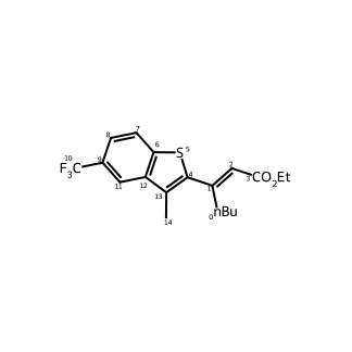 CCCCC(=CC(=O)OCC)c1sc2ccc(C(F)(F)F)cc2c1C